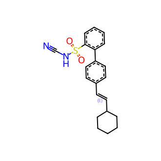 N#CNS(=O)(=O)c1ccccc1-c1ccc(/C=C/C2CCCCC2)cc1